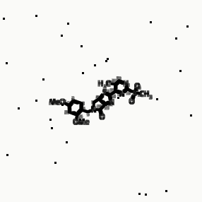 COc1ccc(CN2Cc3sc(-c4nc(S(C)(=O)=O)ncc4C)nc3C2=O)c(OC)c1